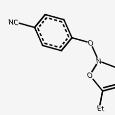 CCC1=CCN(Oc2ccc(C#N)cc2)O1